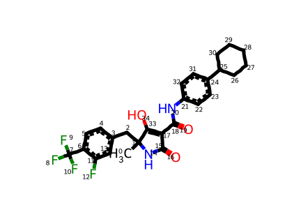 CC1(Cc2ccc(C(F)(F)F)c(F)c2)NC(=O)C(C(=O)Nc2ccc(C3CCCCC3)cc2)=C1O